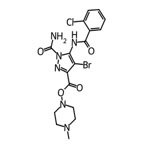 CN1CCN(OC(=O)c2nn(C(N)=O)c(NC(=O)c3ccccc3Cl)c2Br)CC1